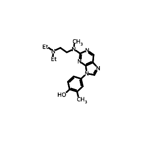 CCN(CC)CCN(C)c1ncc2ncn(-c3ccc(O)c(C)c3)c2n1